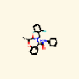 CC(C)C1Oc2ccccc2C(C(=O)Nc2ccccc2)N(Cc2c(F)cccc2F)C1=O